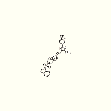 Cc1oc(-c2ccc(C(F)(F)F)cc2)nc1COc1ccc(CN(CC(=O)O)S(=O)(=O)N2CCc3ccccc32)cc1